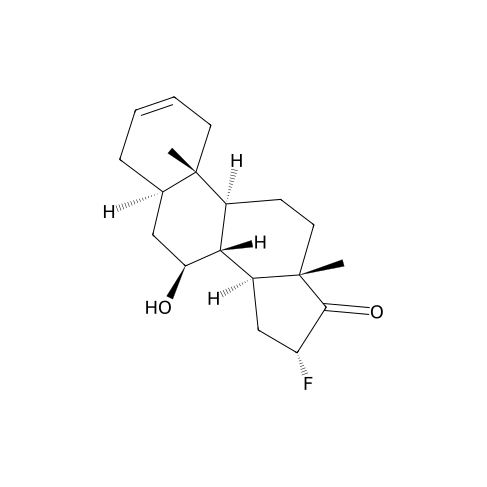 C[C@]12CC=CC[C@@H]1C[C@H](O)[C@@H]1[C@@H]2CC[C@]2(C)C(=O)[C@H](F)C[C@@H]12